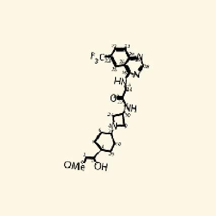 COCC(O)[C@H]1CC[C@@H](N2CC(NC(=O)CNc3ncnc4ccc(C(F)(F)F)cc34)C2)CC1